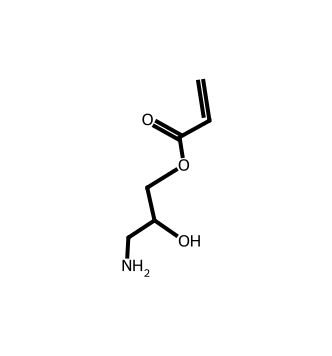 C=CC(=O)OCC(O)CN